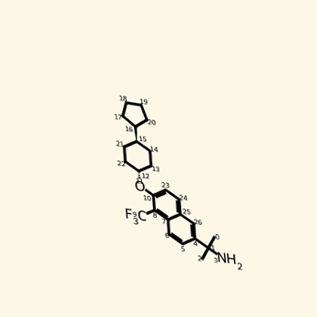 CC(C)(N)c1ccc2c(C(F)(F)F)c(O[C@H]3CC[C@H](C4CCCC4)CC3)ccc2c1